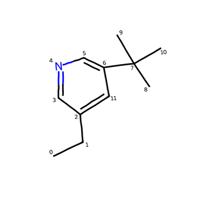 CCc1cncc(C(C)(C)C)c1